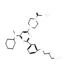 CNCC(O)COc1cccc(-c2nc(N3CCN(C(=O)OC)CC3)cc(N(C)C3CCCCC3)n2)c1